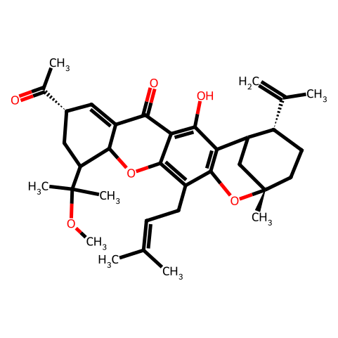 C=C(C)[C@@H]1CC[C@@]2(C)CC1c1c(O)c3c(c(CC=C(C)C)c1O2)OC1C(=C[C@@H](C(C)=O)CC1C(C)(C)OC)C3=O